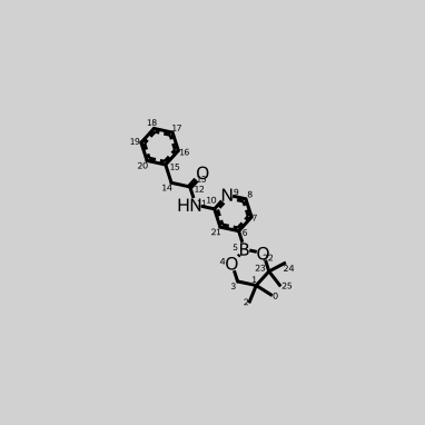 CC1(C)COB(c2ccnc(NC(=O)Cc3ccccc3)c2)OC1(C)C